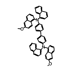 COc1ccc2c(N(c3ccc(-c4ccc(N(c5cccc6ccccc56)c5cccc6cc(OC)ccc56)cc4)cc3)c3cccc4ccccc34)cccc2c1